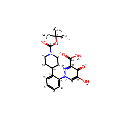 CC(C)(C)OC(=O)N1CCC(c2ccccc2-n2cc(O)c(=O)c(C(=O)O)n2)CC1